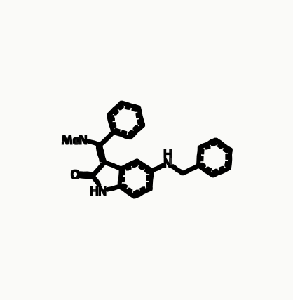 CNC(=C1C(=O)Nc2ccc(NCc3ccccc3)cc21)c1ccccc1